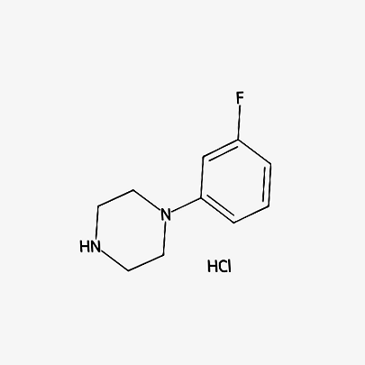 Cl.Fc1cccc(N2CCNCC2)c1